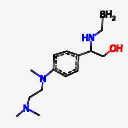 BCNC(CO)c1ccc(N(C)CCN(C)C)cc1